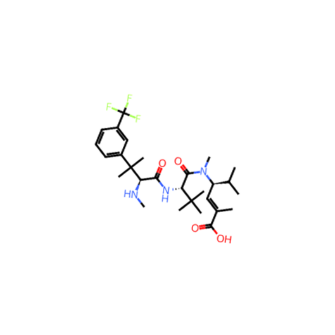 CN[C@H](C(=O)N[C@H](C(=O)N(C)[C@H](/C=C(\C)C(=O)O)C(C)C)C(C)(C)C)C(C)(C)c1cccc(C(F)(F)F)c1